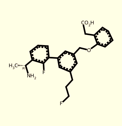 C[C@@H](N)c1cccc(-c2cc(CCCF)cc(COc3ccccc3CC(=O)O)c2)c1F